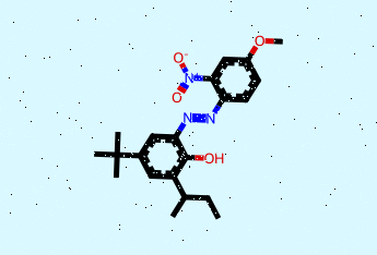 CCC(C)c1cc(C(C)(C)C)cc(N=Nc2ccc(OC)cc2[N+](=O)[O-])c1O